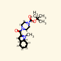 Cn1c(C(=O)N2CCN(C(=O)OC(C)(C)C)CC2)cc2ccccc21